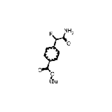 CC(C)(C)OC(=O)c1ccc(C(F)C(N)=O)cc1